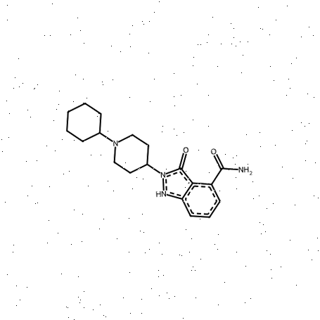 NC(=O)c1cccc2[nH]n(C3CCN(C4CCCCC4)CC3)c(=O)c12